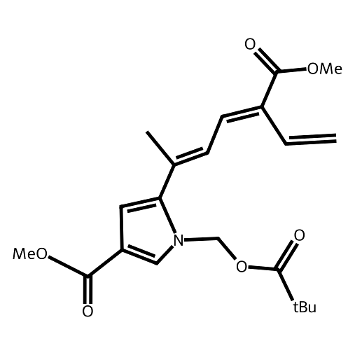 C=C/C(=C\C=C(/C)c1cc(C(=O)OC)cn1COC(=O)C(C)(C)C)C(=O)OC